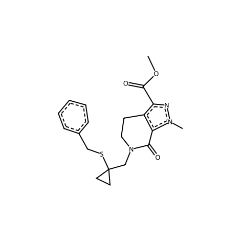 COC(=O)c1nn(C)c2c1CCN(CC1(SCc3ccccc3)CC1)C2=O